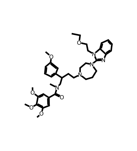 CCOCCn1c(N2CCCN(CCC(CN(C)C(=O)c3cc(OC)c(OC)c(OC)c3)c3cccc(OC)c3)CC2)nc2ccccc21